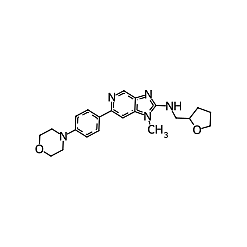 Cn1c(NCC2CCCO2)nc2cnc(-c3ccc(N4CCOCC4)cc3)cc21